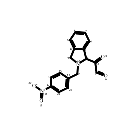 O=CC(=O)C1c2ccccc2CN1Cc1ccc([N+](=O)[O-])cc1